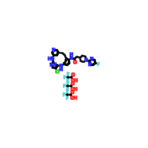 O=C(CC1CCN(c2ncc(F)cn2)CC1)Nc1ccc2cc1CCc1cncc(c1)Nc1ncc(Cl)c(n1)N2.O=C(O)C(F)(F)F.O=C(O)C(F)(F)F.O=C(O)C(F)(F)F